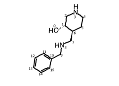 O[C@@H]1CNCC[C@H]1CNCc1ccccc1